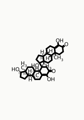 C[C@]12CC[C@H]3[C@@H](CCC4=C(O)C(=O)CC(C5(O)CC[C@H]6[C@@H]7CCC8=C(O)C(=O)CC[C@]8(C)[C@@H]7CC[C@@]65C)[C@@]43C)[C@@H]1CC[C@@H]2O